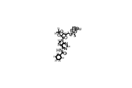 CC(C)(C)OP(=S)(OCC1OC(n2cnc3c(NC(=O)c4ccccc4)ncnc32)C2OC(C)(C)OC12)OC(C)(C)C